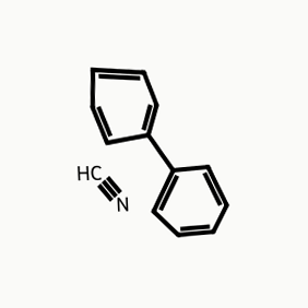 C#N.c1ccc(-c2ccccc2)cc1